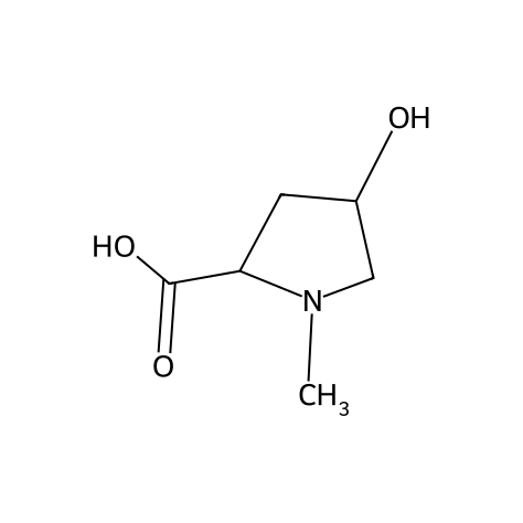 CN1CC(O)CC1C(=O)O